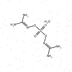 NC(N)=NOS(=O)(=O)ON=C(N)N.O